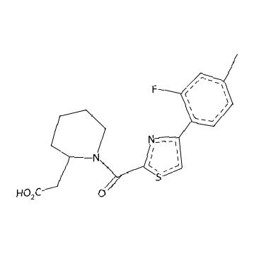 Cc1ccc(-c2csc(C(=O)N3CCCCC3CC(=O)O)n2)c(F)c1